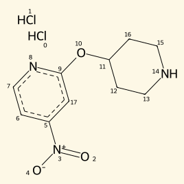 Cl.Cl.O=[N+]([O-])c1ccnc(OC2CCNCC2)c1